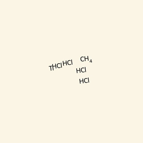 C.Cl.Cl.Cl.Cl.[Ti]